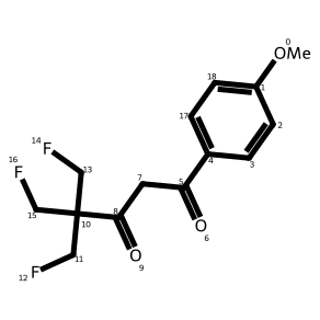 COc1ccc(C(=O)CC(=O)C(CF)(CF)CF)cc1